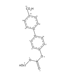 CCCCCCCCOC(=O)Oc1ccc(-c2ccc(C(=O)O)cc2)cc1